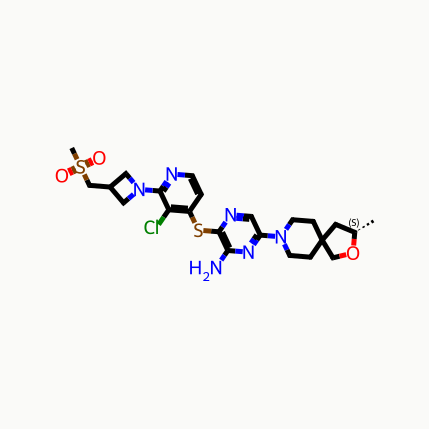 C[C@H]1CC2(CCN(c3cnc(Sc4ccnc(N5CC(CS(C)(=O)=O)C5)c4Cl)c(N)n3)CC2)CO1